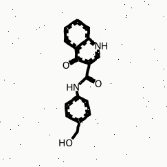 O=C(Nc1ccc(CO)cc1)c1c[nH]c2ccccc2c1=O